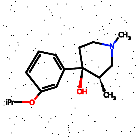 CC(C)Oc1cccc([C@]2(O)CCN(C)C[C@@H]2C)c1